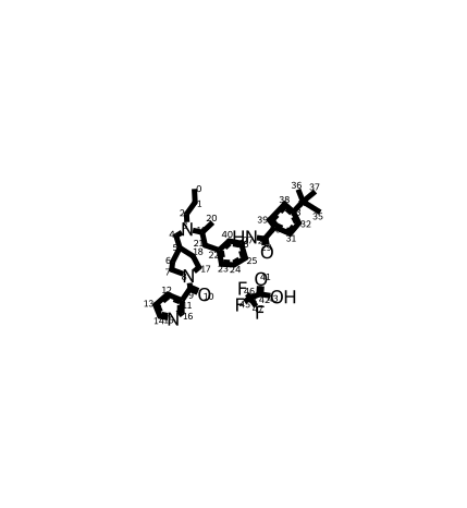 CCCN(CC1CCN(C(=O)c2cccnc2)CC1)C(C)Cc1cccc(NC(=O)c2ccc(C(C)(C)C)cc2)c1.O=C(O)C(F)(F)F